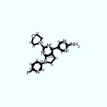 Nc1ncc(-c2nc(N3CCOCC3)nc3c2CCN3c2ccc(F)nc2)cn1